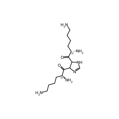 NCCCC[C@H](N)C(=O)C1N=CNC1C(=O)[C@@H](N)CCCCN